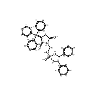 O=C1CC(=P(c2ccccc2)(c2ccccc2)c2ccccc2)C(=O)N1COP(=O)(OCc1ccccc1)OCc1ccccc1